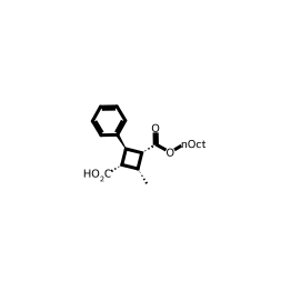 CCCCCCCCOC(=O)[C@@H]1[C@H](C)[C@H](C(=O)O)[C@H]1c1ccccc1